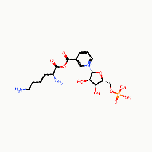 NCCCC[C@H](N)C(=O)OC(=O)c1ccc[n+]([C@@H]2O[C@H](COP(=O)(O)O)[C@@H](O)[C@H]2O)c1